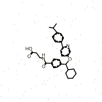 CC(C)c1ccc(-c2ccc(OC(c3ccc(C(=O)NCCC(=O)O)cc3)C3CCCCC3)cn2)cc1